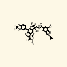 COc1cc(C(=O)NCC(O)(c2cc3c(c(-c4ccc5c(c4)OC(F)(F)O5)n2)OC[C@]3(C(N)=O)C(F)F)C(F)(F)F)cc2cn(C3CC3)nc12